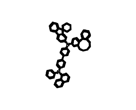 c1ccc(N(c2ccc(-c3ccc(N(c4ccc5c(c4)CCCCCc4ccccc4-5)c4ccc5c(c4)C4(CCCCC4)c4ccccc4-5)cc3)cc2)c2cccc3ccccc23)cc1